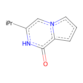 CC(C)c1cn2cccc2c(=O)[nH]1